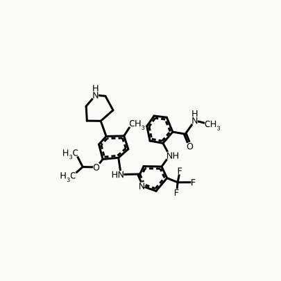 CNC(=O)c1ccccc1Nc1cc(Nc2cc(C)c(C3CCNCC3)cc2OC(C)C)ncc1C(F)(F)F